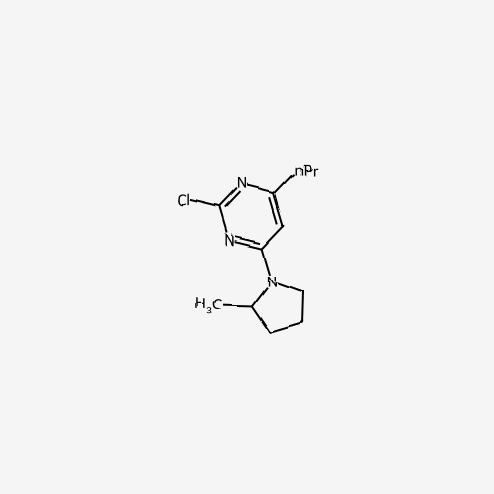 CCCc1cc(N2CCCC2C)nc(Cl)n1